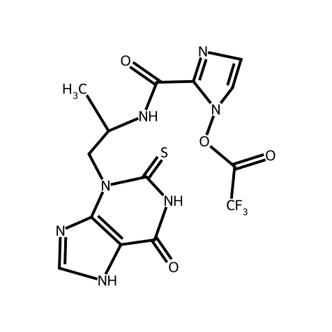 CC(Cn1c(=S)[nH]c(=O)c2[nH]cnc21)NC(=O)c1nccn1OC(=O)C(F)(F)F